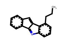 CCCc1cccc2c1C1=Cc3ccccc3C1=N2